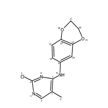 Cc1cnc(Cl)nc1Nc1ccc2c(c1)OCCO2